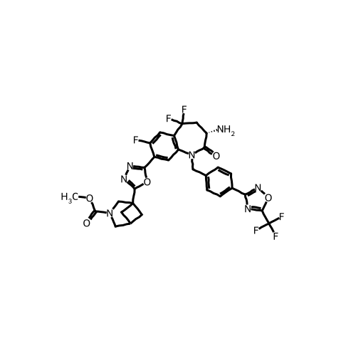 COC(=O)N1CC2CC(c3nnc(-c4cc5c(cc4F)C(F)(F)C[C@H](N)C(=O)N5Cc4ccc(-c5noc(C(F)(F)F)n5)cc4)o3)(C2)C1